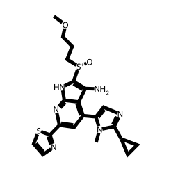 COCCC[S+]([O-])c1[nH]c2nc(-c3nccs3)cc(-c3cnc(C4CC4)n3C)c2c1N